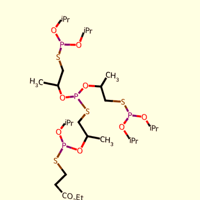 CCOC(=O)CCSP(OC(C)C)OC(C)CSP(OC(C)CSP(OC(C)C)OC(C)C)OC(C)CSP(OC(C)C)OC(C)C